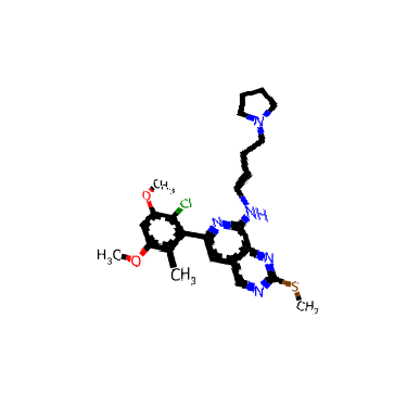 COc1cc(OC)c(Cl)c(-c2cc3cnc(SC)nc3c(NCCCCN3CCCC3)n2)c1C